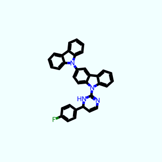 Fc1ccc(C2C=CN=C(n3c4ccccc4c4cc(-n5c6ccccc6c6ccccc65)ccc43)N2)cc1